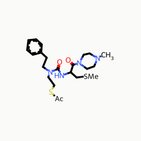 CSCC(NC(=O)N(CCSC(C)=O)CCc1ccccc1)C(=O)N1CCN(C)CC1